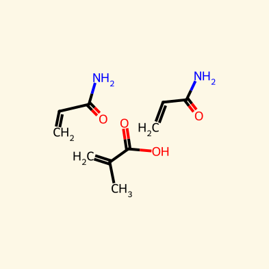 C=C(C)C(=O)O.C=CC(N)=O.C=CC(N)=O